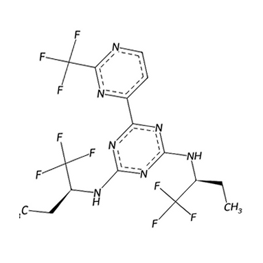 CC[C@H](Nc1nc(N[C@@H](CC)C(F)(F)F)nc(-c2ccnc(C(F)(F)F)n2)n1)C(F)(F)F